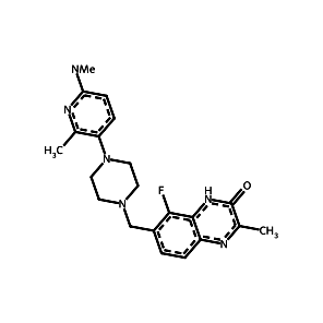 CNc1ccc(N2CCN(Cc3ccc4nc(C)c(=O)[nH]c4c3F)CC2)c(C)n1